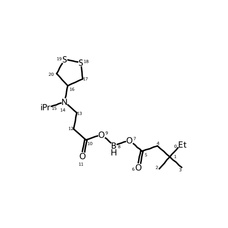 CCC(C)(C)CC(=O)OBOC(=O)CCN(C(C)C)C1CSSC1